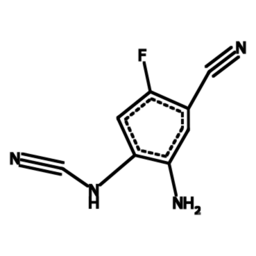 N#CNc1cc(F)c(C#N)cc1N